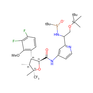 COc1c([C@@H]2[C@@H](C(=O)Nc3ccnc(C(CO[Si](C)(C)C(C)(C)C)N[S+]([O-])C(C)(C)C)c3)O[C@](C)(C(F)(F)F)[C@@H]2C)ccc(F)c1F